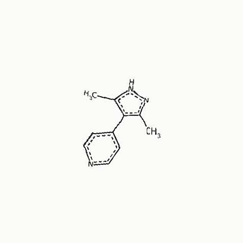 Cc1n[nH]c(C)c1-c1ccncc1